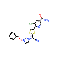 N#C/C(=C1/SCC(c2ncc(C(N)=O)cc2Cl)S1)N1C=CN(OCc2ccccc2)C1